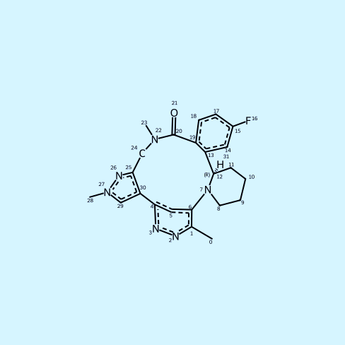 Cc1nnc2cc1N1CCCC[C@@H]1c1cc(F)ccc1C(=O)N(C)Cc1nn(C)cc1-2